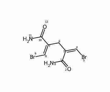 NC(=O)C(=CBr)CC(=CBr)C(N)=O